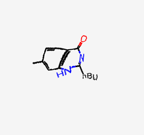 CCCCc1nc(=O)c2ccc(C)cc2[nH]1